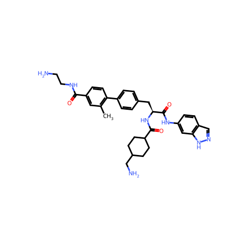 Cc1cc(C(=O)NCCN)ccc1-c1ccc(C[C@H](NC(=O)C2CCC(CN)CC2)C(=O)Nc2ccc3cn[nH]c3c2)cc1